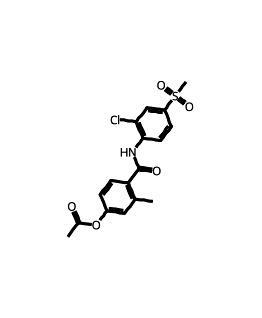 CC(=O)Oc1ccc(C(=O)Nc2ccc(S(C)(=O)=O)cc2Cl)c(C)c1